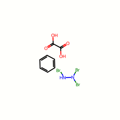 BrNN(Br)Br.O=C(O)C(=O)O.c1ccccc1